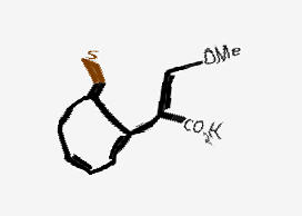 COC=C(C(=O)O)C1=CC=CCC1=S